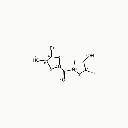 O=C(N1CC(O)C(F)C1)N1CC(O)C(F)C1